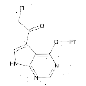 CC(C)Oc1ncnc2[nH]cc(C(=O)CCl)c12